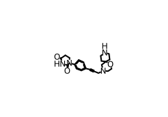 O=C1CCN(c2ccc(C#CCN3CCOC4(CCNCC4)C3)cc2)C(=O)N1